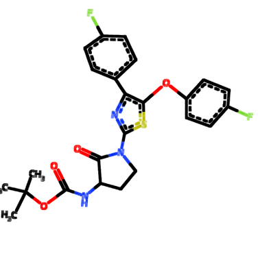 CC(C)(C)OC(=O)NC1CCN(c2nc(-c3ccc(F)cc3)c(Oc3ccc(F)cc3)s2)C1=O